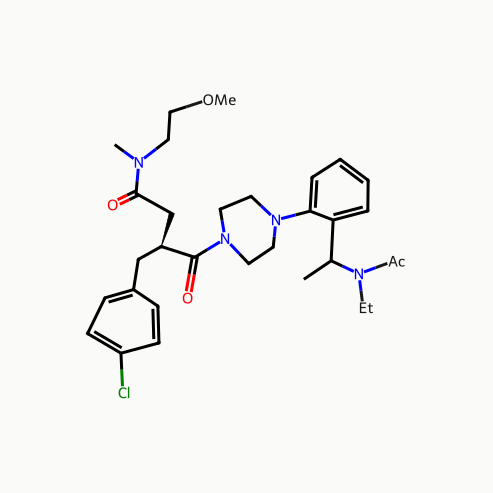 CCN(C(C)=O)C(C)c1ccccc1N1CCN(C(=O)[C@H](CC(=O)N(C)CCOC)Cc2ccc(Cl)cc2)CC1